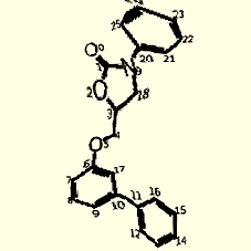 O=C1OC(COc2cccc(-c3ccccc3)c2)CN1c1ccccc1